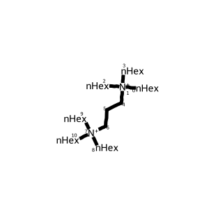 CCCCCC[N+](CCCCCC)(CCCCCC)CCC[N+](CCCCCC)(CCCCCC)CCCCCC